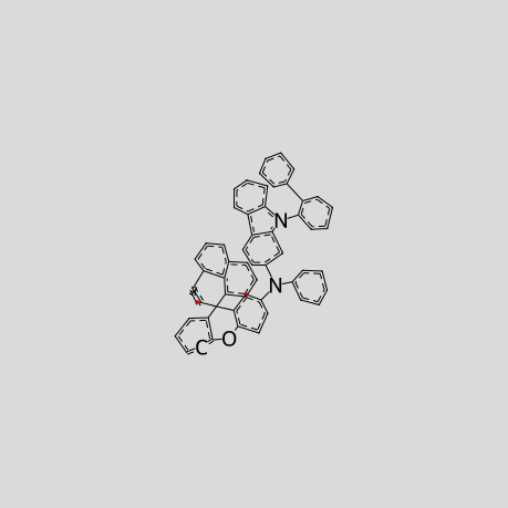 c1ccc(-c2ccccc2-n2c3ccccc3c3ccc(N(c4ccccc4)c4ccc5c(c4)C4(c6ccccc6O5)c5ccccc5-c5cccc6cccc4c56)cc32)cc1